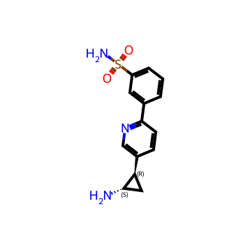 N[C@H]1C[C@@H]1c1ccc(-c2cccc(S(N)(=O)=O)c2)nc1